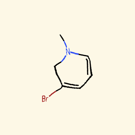 CN1C=CC=C(Br)C1